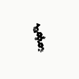 COc1ccc(Cn2cc(Br)c3ccc(N(C=O)CC(=O)C4CC4)cc3c2=O)cc1